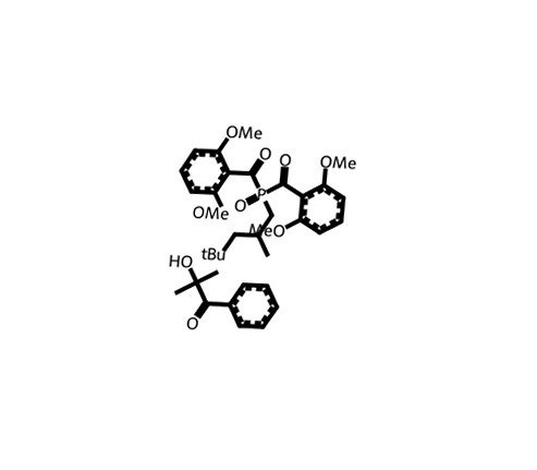 CC(C)(O)C(=O)c1ccccc1.COc1cccc(OC)c1C(=O)P(=O)(CC(C)CC(C)(C)C)C(=O)c1c(OC)cccc1OC